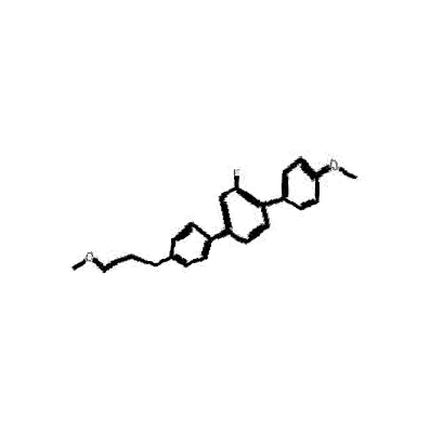 COCCCc1ccc(-c2ccc(-c3ccc(OC)cc3)c(F)c2)cc1